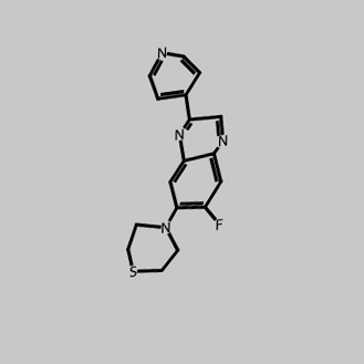 Fc1cc2ncc(-c3ccncc3)nc2cc1N1CCSCC1